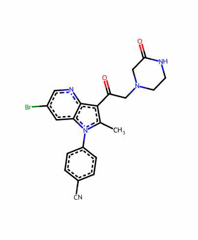 Cc1c(C(=O)CN2CCNC(=O)C2)c2ncc(Br)cc2n1-c1ccc(C#N)cc1